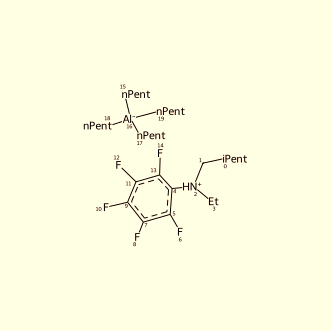 CCCC(C)C[NH+](CC)c1c(F)c(F)c(F)c(F)c1F.CCCC[CH2][Al-]([CH2]CCCC)([CH2]CCCC)[CH2]CCCC